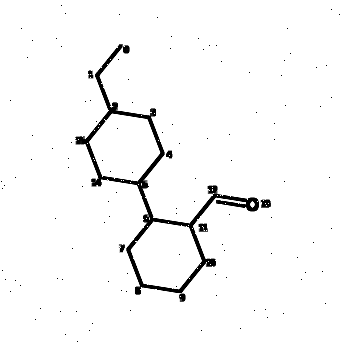 CCC1CCC(C2CCCCC2C=O)CC1